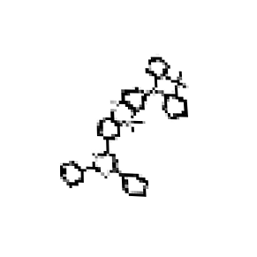 CC1(C)c2ccccc2N(c2ccc3c(c2)[Si](C)(C)c2cc(-c4nc(-c5ccccc5)nc(-c5ccccc5)n4)ccc2O3)c2ccccc21